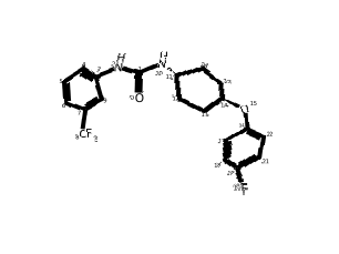 O=C(Nc1cccc(C(F)(F)F)c1)N[C@H]1CC[C@H](Oc2ccc(F)cc2)CC1